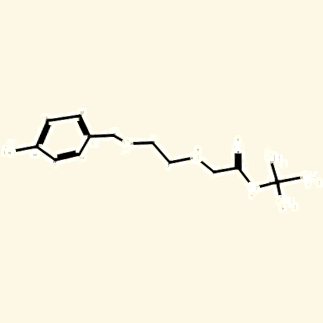 CC(C)(C)OC(=O)COCCOCc1ccc(Br)cc1